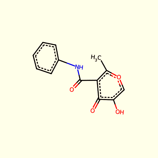 Cc1occ(O)c(=O)c1C(=O)Nc1ccccc1